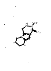 CC(C)N1NCc2c(cc3n2CCCC3)C1=O